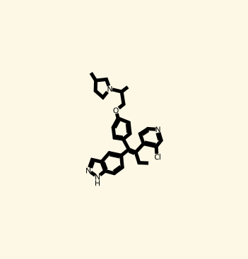 CC/C(=C(/c1ccc(OCC(C)N2CCC(C)C2)cc1)c1ccc2[nH]ncc2c1)c1ccncc1Cl